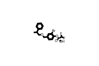 CC(COCc1ccc(OP(=O)(O)C(F)F)c(Br)c1)c1ccccc1